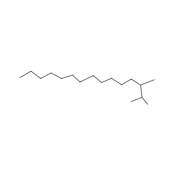 [CH2]C(CCCCCCCCCCCC)C(C)C